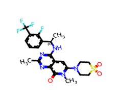 Cc1nc(N[C@H](C)c2cccc(C(F)(F)F)c2F)c2cc(N3CCS(=O)(=O)CC3)n(C)c(=O)c2n1